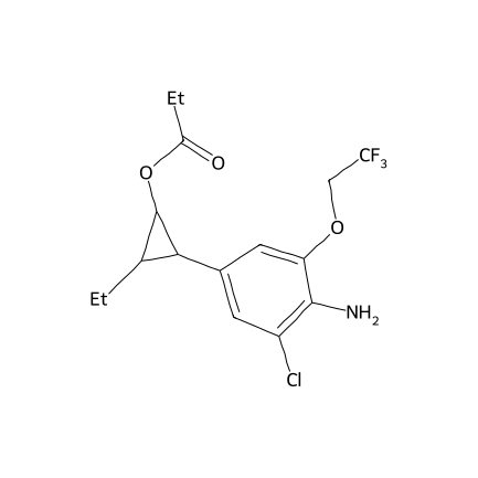 CCC(=O)OC1C(CC)C1c1cc(Cl)c(N)c(OCC(F)(F)F)c1